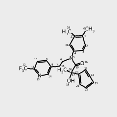 Cc1ccc(N(CCc2ccc(C(F)(F)F)nc2)C(=O)[C@@](C)(O)c2ccccc2)cc1C